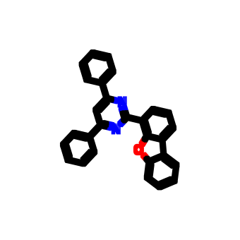 c1ccc(-c2cc(-c3ccccc3)nc(-c3cccc4c3oc3ccccc34)n2)cc1